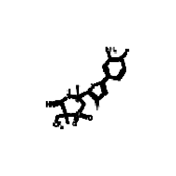 CC1(CC(F)(F)F)C(=N)N[C@](C)(c2sc(-c3ccc(F)c(N)c3)cc2F)CS1(=O)=O